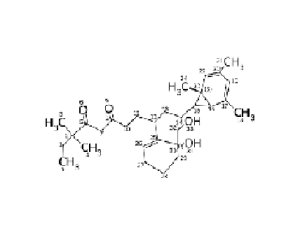 CCC(C)(C)C(=O)CC(=O)CCC(CCC1C2C(C)=CC(C)=C[C@@]12C)C1=CCCC[C@]1(O)CO